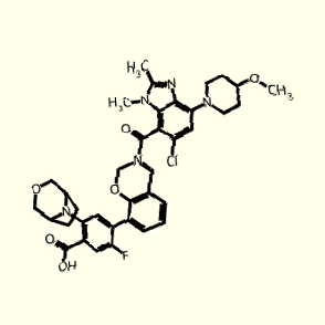 COC1CCN(c2cc(Cl)c(C(=O)N3COc4c(cccc4-c4cc(N5C6CCC5COC6)c(C(=O)O)cc4F)C3)c3c2nc(C)n3C)CC1